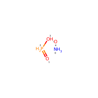 N.O=[PH2]O.[O]